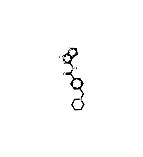 O=C(Nc1n[nH]c2sccc12)c1ccc(CN2CCCCC2)cc1